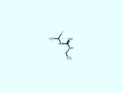 CCNC(=N)NC(C)I